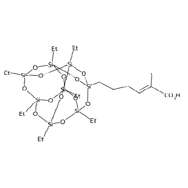 CC[Si]12O[Si]3(CC)O[Si]4(CC)O[Si](CC)(O1)O[Si]1(CC)O[Si](CC)(O2)O[Si](CC)(O3)O[Si](CCC/C=C(\C)C(=O)O)(O4)O1